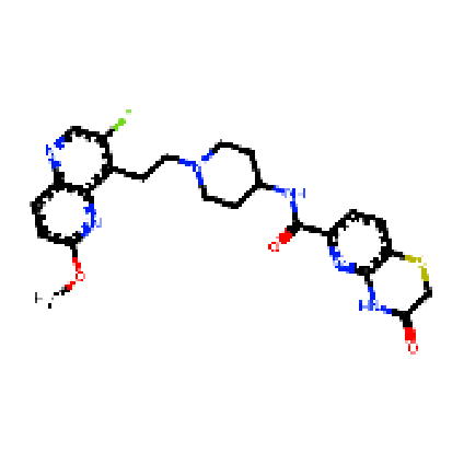 COc1ccc2ncc(F)c(CCN3CCC(NC(=O)c4ccc5c(n4)NC(=O)CS5)CC3)c2n1